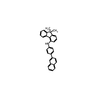 C[Si]1(C)c2ccccc2-c2c(Nc3ccc(-c4ccc5ccccc5c4)cc3)cccc21